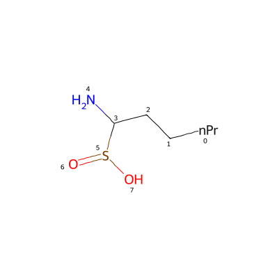 CCCCCC(N)S(=O)O